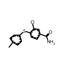 Cc1ccc(Sc2ccc(C(N)=O)cc2Cl)cc1